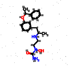 CC(Cc1cccc(OC(C)c2ccccc2)c1)NCCN(O)C(N)=O